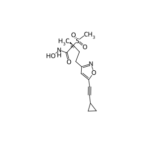 C[C@@](CCc1cc(C#CC2CC2)on1)(C(=O)NO)S(C)(=O)=O